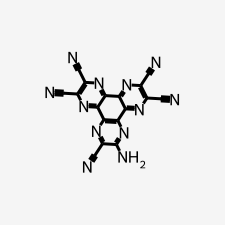 N#Cc1nc2c(nc1N)c1nc(C#N)c(C#N)nc1c1nc(C#N)c(C#N)nc21